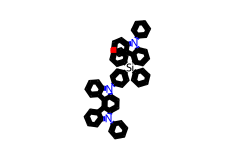 c1ccc(-n2c3ccccc3c3c([Si](c4ccccc4)(c4ccccc4)c4ccc(-n5c6ccccc6c6c7c8ccccc8n(-c8ccccc8)c7ccc65)cc4)cccc32)cc1